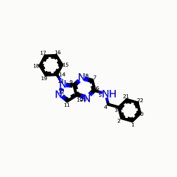 c1ccc(CNc2cnc3c(cnn3-c3ccccc3)n2)cc1